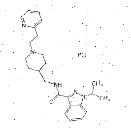 CC(C)n1nc(C(=O)NCC2CCN(CCc3ccccn3)CC2)c2ccccc21.Cl